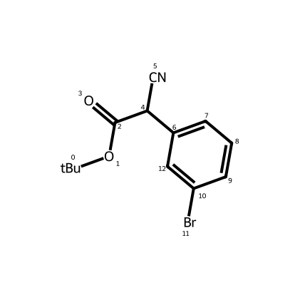 CC(C)(C)OC(=O)C(C#N)c1cccc(Br)c1